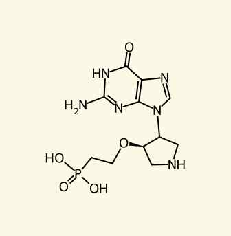 Nc1nc2c(ncn2C2CNC[C@H]2OCCP(=O)(O)O)c(=O)[nH]1